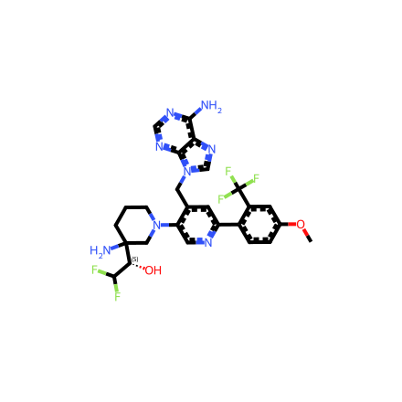 COc1ccc(-c2cc(Cn3cnc4c(N)ncnc43)c(N3CCCC(N)([C@H](O)C(F)F)C3)cn2)c(C(F)(F)F)c1